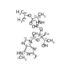 CNc1nc(F)nc2c1ncn2[C@@H](C)O[C@](F)(CO[PH](=O)N[C@@H](C)C(=O)OC(C)C)C(C)O